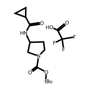 CC(C)(C)OC(=O)N1CCC(NC(=O)C2CC2)C1.O=C(O)C(F)(F)F